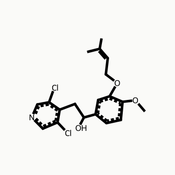 COc1ccc(C(O)Cc2c(Cl)cncc2Cl)cc1OCC=C(C)C